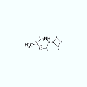 C1CCC1.CC1CNCCO1